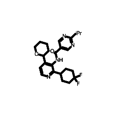 CC(C)c1ncc(C(=O)Nc2c(C3CCCCO3)ccnc2C2CCC(F)(F)CC2)cn1